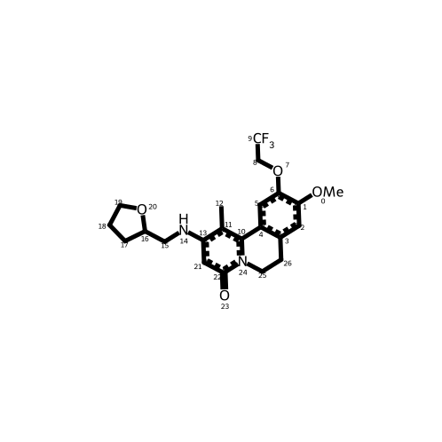 COc1cc2c(cc1OCC(F)(F)F)-c1c(C)c(NCC3CCCO3)cc(=O)n1CC2